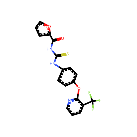 O=C(NC(=S)Nc1ccc(Oc2ncccc2C(F)(F)F)cc1)c1ccco1